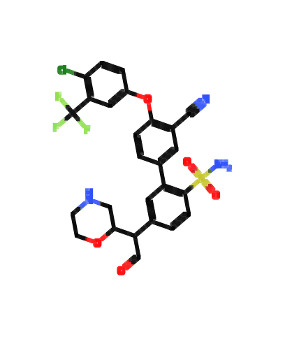 N#Cc1cc(-c2cc(C(C=O)C3CNCCO3)ccc2S(N)(=O)=O)ccc1Oc1ccc(Cl)c(C(F)(F)F)c1